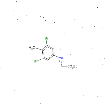 CCOC(=O)CNc1cc(Br)c(C)c(Br)c1